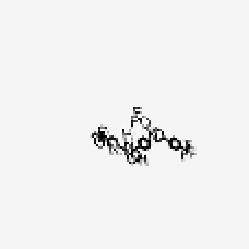 CCS(=O)(=O)c1ccc([C@H](CO)NC(=O)c2ccc(N3CC(c4ccc(C(F)(F)F)cc4)CC[C@H]3COC(F)F)cc2)nc1